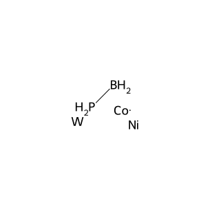 BP.[Co].[Ni].[W]